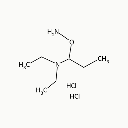 CCC(ON)N(CC)CC.Cl.Cl